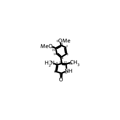 COc1ccc(-c2c(N)cc(=O)[nH]c2C)cc1OC